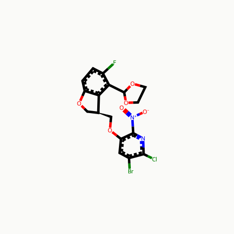 O=[N+]([O-])c1nc(Cl)c(Br)cc1OC[C@H]1COc2ccc(F)c(C3OCCO3)c21